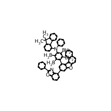 Bc1c(B)c(N(c2ccccc2)c2cccc3c2-c2ccccc2C3(C)C)c(B)c(B)c1-c1cc(-c2cccc3oc(-c4ccccc4)nc23)cc2oc3ccc4ccccc4c3c12